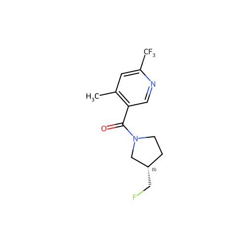 Cc1cc(C(F)(F)F)ncc1C(=O)N1CC[C@H](CF)C1